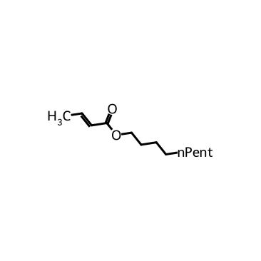 CC=CC(=O)OCCCCCCCCC